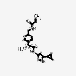 C=CC(=O)NCc1ccc([C@@H](C)C(=O)Nc2cc(C3CC3)[nH]n2)cn1